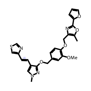 COc1cc(COc2nn(C)cc2/C=C/c2cscn2)ccc1OCc1nc(-c2ccco2)oc1C